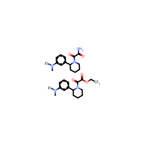 CCN(C)c1cccc(C2CCCCN2C(=O)C(=O)OCC(F)(F)F)c1.CCN(C)c1cccc(C2CCCCN2C(=O)C(N)=O)c1